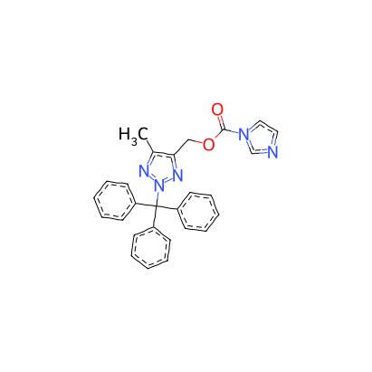 Cc1nn(C(c2ccccc2)(c2ccccc2)c2ccccc2)nc1COC(=O)n1ccnc1